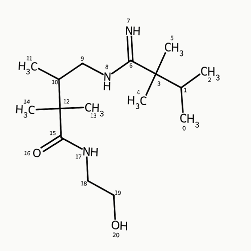 CC(C)C(C)(C)C(=N)NCC(C)C(C)(C)C(=O)NCCO